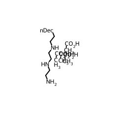 CC(=O)O.CC(=O)O.CC(=O)O.CC(=O)O.CCCCCCCCCCCCNCCNCCN